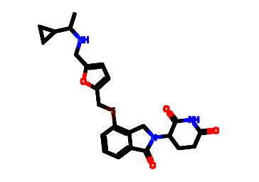 CC(NCc1ccc(CSc2cccc3c2CN(C2CCC(=O)NC2=O)C3=O)o1)C1CC1